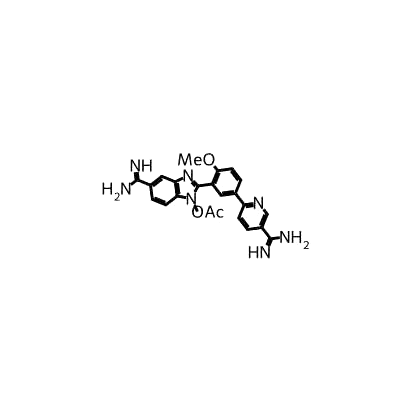 COc1ccc(-c2ccc(C(=N)N)cn2)cc1-c1nc2cc(C(=N)N)ccc2n1OC(C)=O